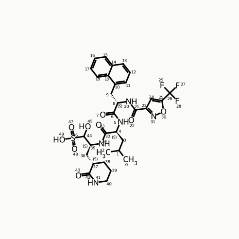 CC(C)C[C@H](NC(=O)[C@H](Cc1cccc2ccccc12)NC(=O)c1cc(C(F)(F)F)on1)C(=O)N[C@@H](C[C@@H]1CCCNC1=O)C(O)S(=O)(=O)O